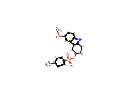 COc1ccc2[nH]c3c(c2c1)CC(OS(=O)(=O)c1ccc(C)cc1)CC3